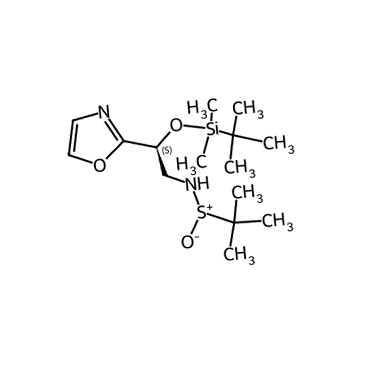 CC(C)(C)[S+]([O-])NC[C@H](O[Si](C)(C)C(C)(C)C)c1ncco1